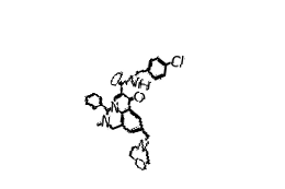 CN1Cc2cc(CN3CCOCC3)cc3c(=O)c(C(=O)NCc4ccc(Cl)cc4)cn(c23)C1c1ccccc1